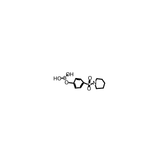 O=S(=O)(c1ccc(OB(O)O)cc1)N1CCCCC1